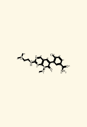 COn1c(=O)c(-c2cc(C(N)=O)ccc2Cl)cc2cnc(NCCN(C)C)nc21